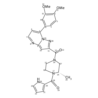 COc1ccc(-c2ccnc3cc(C(=O)N4CCN(C(=O)c5ccc[nH]5)[C@@H](C)C4)nn23)cc1OC